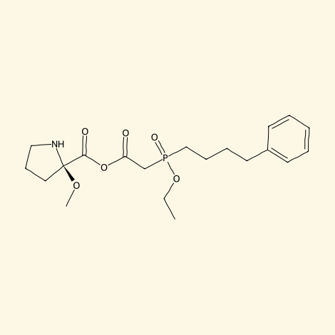 CCOP(=O)(CCCCc1ccccc1)CC(=O)OC(=O)[C@]1(OC)CCCN1